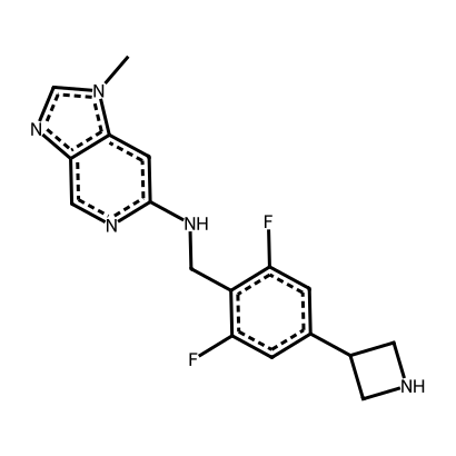 Cn1cnc2cnc(NCc3c(F)cc(C4CNC4)cc3F)cc21